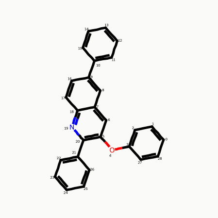 c1ccc(Oc2cc3cc(-c4ccccc4)ccc3nc2-c2ccccc2)cc1